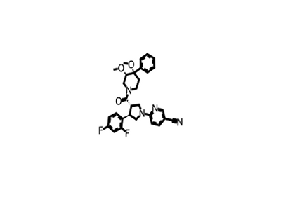 CO[C@H]1CN(C(=O)[C@@H]2CN(c3ccc(C#N)cn3)C[C@H]2c2ccc(F)cc2F)CC[C@]1(OC)c1ccccc1